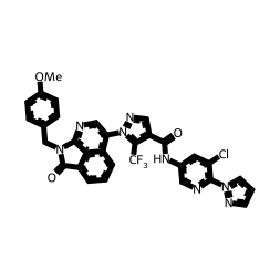 COc1ccc(CN2C(=O)c3cccc4c(-n5ncc(C(=O)Nc6cnc(-n7cccn7)c(Cl)c6)c5C(F)(F)F)cnc2c34)cc1